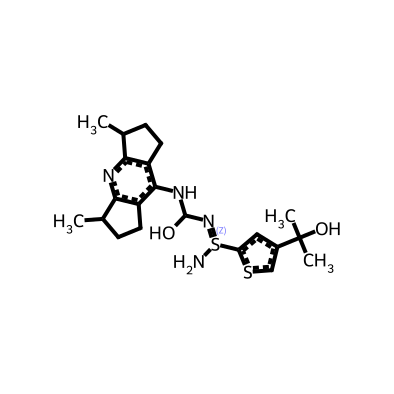 CC1CCc2c1nc1c(c2NC(O)/N=S(\N)c2cc(C(C)(C)O)cs2)CCC1C